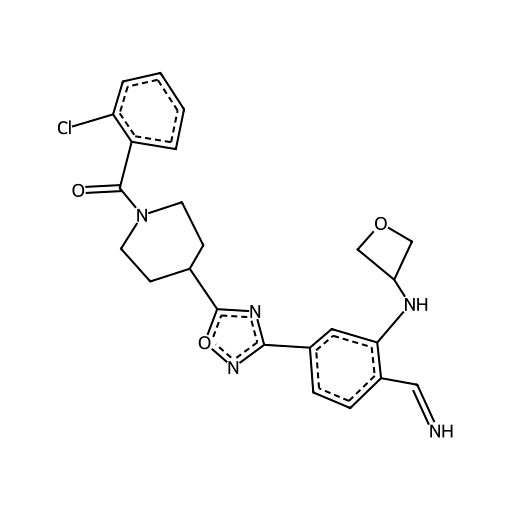 N=Cc1ccc(-c2noc(C3CCN(C(=O)c4ccccc4Cl)CC3)n2)cc1NC1COC1